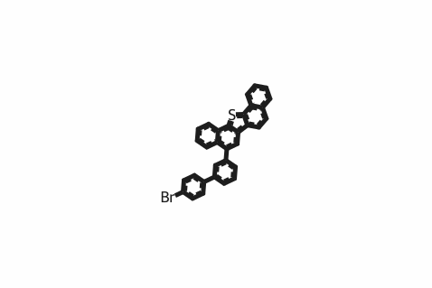 Brc1ccc(-c2cccc(-c3cc4c5ccc6ccccc6c5sc4c4ccccc34)c2)cc1